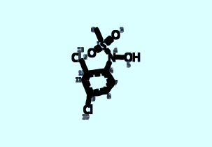 CS(=O)(=O)N(O)c1ccc(Cl)cc1Cl